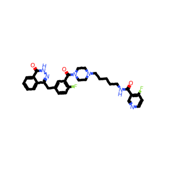 O=C(NCCCCCN1CCN(C(=O)c2cc(Cc3n[nH]c(=O)c4ccccc34)ccc2F)CC1)c1cnccc1F